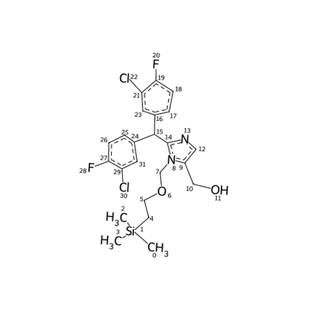 C[Si](C)(C)CCOCn1c(CO)cnc1C(c1ccc(F)c(Cl)c1)c1ccc(F)c(Cl)c1